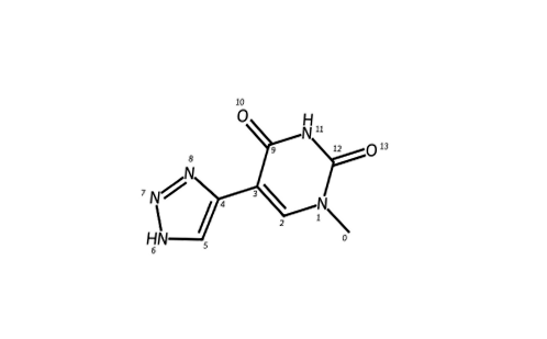 Cn1cc(-c2c[nH]nn2)c(=O)[nH]c1=O